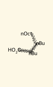 CCCCCCCC/C=C/CCCCCC/C(=C\CCCCCCC(CCCC)CCCCCCCCC(=O)O)CCCC